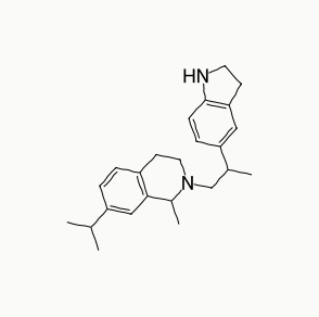 CC(C)c1ccc2c(c1)C(C)N(CC(C)c1ccc3c(c1)CCN3)CC2